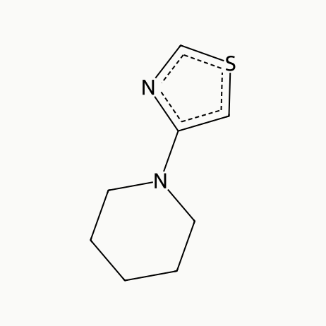 c1nc(N2CCCCC2)cs1